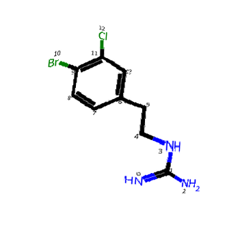 N=C(N)NCCc1ccc(Br)c(Cl)c1